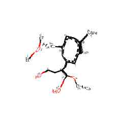 CCOCC.COc1ccc(C(CO)C(O)OC=O)c(C)c1